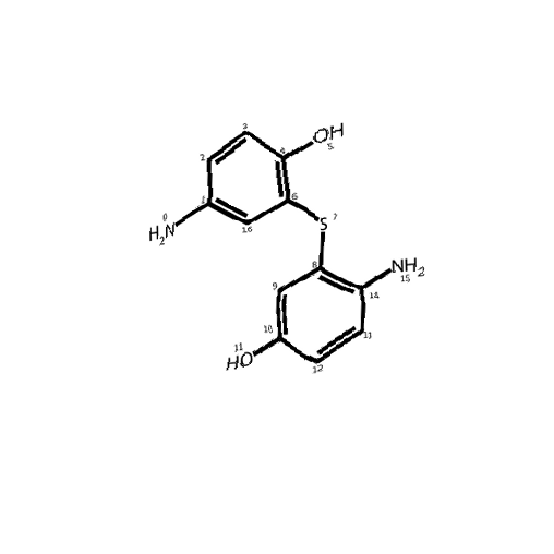 Nc1ccc(O)c(Sc2cc(O)ccc2N)c1